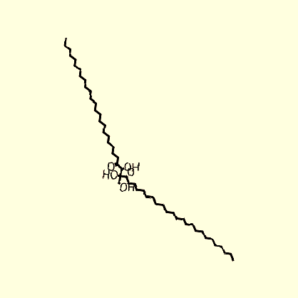 CCCCCCCCCCCCCCCCCCCCCCCC(=O)C(O)C(O)(CO)C(=O)CCCCCCCCCCCCCCCCCCCCCCC